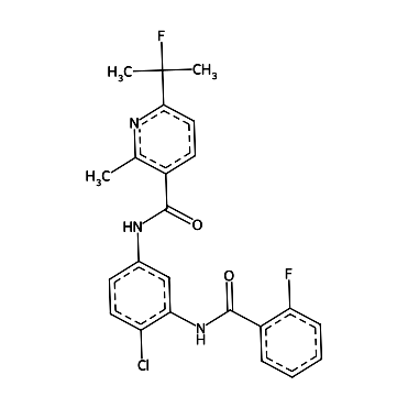 Cc1nc(C(C)(C)F)ccc1C(=O)Nc1ccc(Cl)c(NC(=O)c2ccccc2F)c1